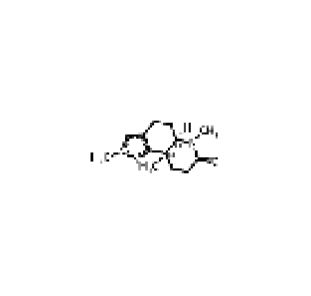 CN1C(=O)CC[C@]2(C)c3nn(C)cc3CC[C@@H]12